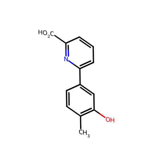 Cc1ccc(-c2cccc(C(=O)O)n2)cc1O